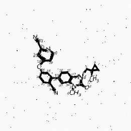 Cn1c(=O)n(CC2(C)CC2)c2ccc(-c3cc(Oc4ccnc(C#N)c4)ccc3C#N)cc21